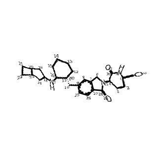 O=C1CCC(N2Cc3cc(C[C@H]4CCCCC4NC4CC5CCC5C4)ccc3C2=O)C(=O)N1